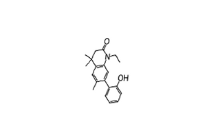 CCN1C(=O)CC(C)(C)c2cc(C)c(-c3ccccc3O)cc21